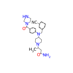 CC(CC(N)=O)N1CCC(N(Cc2cccc(C#N)c2)c2ccc(C(=O)N3CCNCC3)cc2)CC1